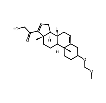 COCOC1CC[C@@]2(C)C(=CC[C@@H]3[C@@H]2CC[C@]2(C)C(C(=O)CO)=CC[C@@H]32)C1